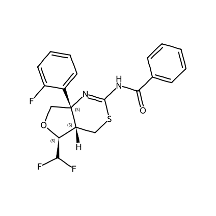 O=C(NC1=N[C@@]2(c3ccccc3F)CO[C@H](C(F)F)[C@H]2CS1)c1ccccc1